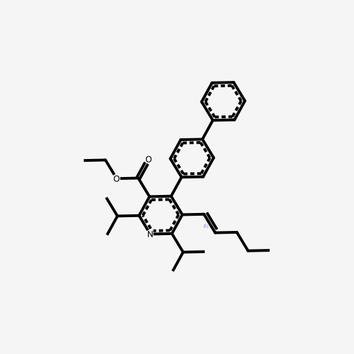 CCC/C=C/c1c(C(C)C)nc(C(C)C)c(C(=O)OCC)c1-c1ccc(-c2ccccc2)cc1